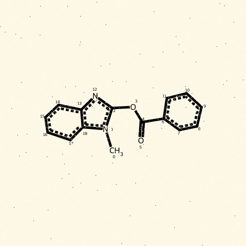 Cn1c(OC(=O)c2ccccc2)nc2ccccc21